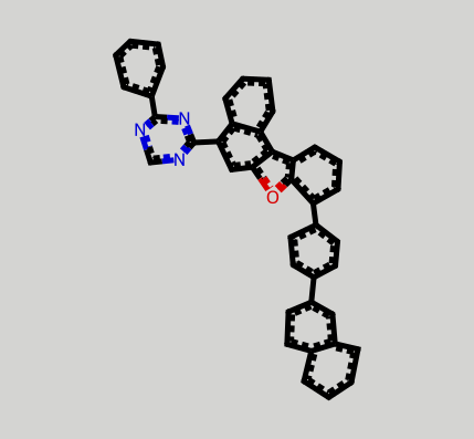 c1ccc(-c2ncnc(-c3cc4oc5c(-c6ccc(-c7ccc8ccccc8c7)cc6)cccc5c4c4ccccc34)n2)cc1